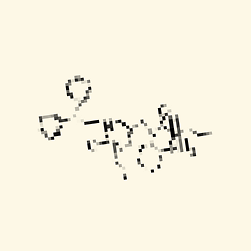 C=C(CN(CCC(c1ccccc1)c1ccccc1)C(=O)NCCC)CN(C(=O)NCCC)[C@@H]1CCCC[C@@H]1N